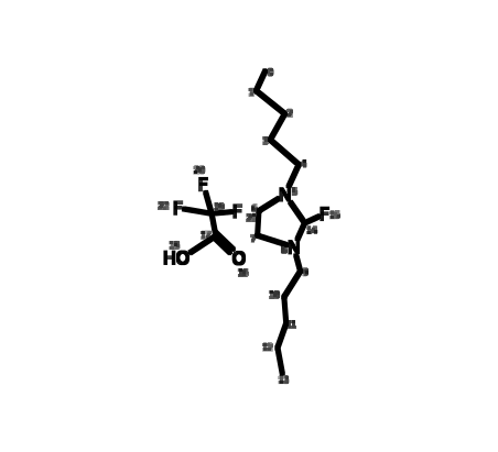 CCCCCN1CCN(CCCCC)C1F.O=C(O)C(F)(F)F